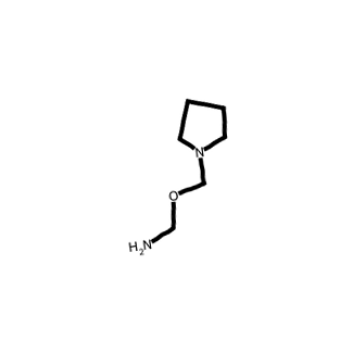 NCOCN1CCCC1